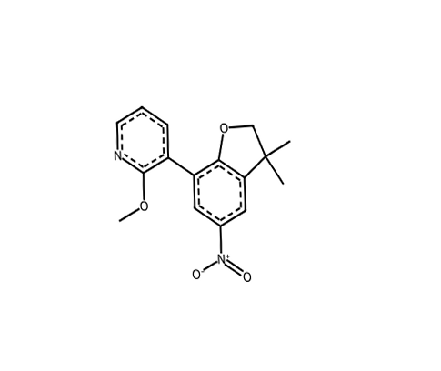 COc1ncccc1-c1cc([N+](=O)[O-])cc2c1OCC2(C)C